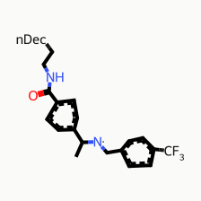 CCCCCCCCCCCCNC(=O)c1ccc(C(C)[N]Cc2ccc(C(F)(F)F)cc2)cc1